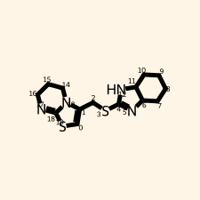 C1=C(CSC2=NC3CCCCC3N2)N2CCCN=C2S1